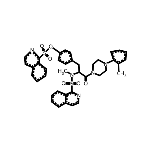 Cc1ccccc1N1CCN(C(=O)C(Cc2ccc(OS(=O)(=O)c3nccc4ccccc34)cc2)N(C)S(=O)(=O)c2nccc3ccccc23)CC1